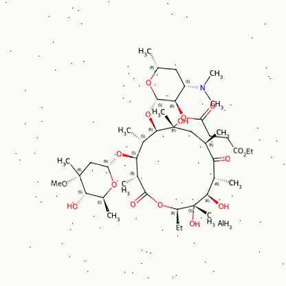 CCOC(=O)CCC(=O)O[C@H]1[C@H](O[C@@H]2[C@@H](C)[C@H](O[C@H]3C[C@@](C)(OC)[C@@H](O)[C@H](C)O3)[C@@H](C)C(=O)O[C@H](CC)[C@@](C)(O)[C@H](O)[C@@H](C)C(=O)[C@H](C)C[C@@]2(C)O)O[C@H](C)C[C@@H]1N(C)C.[AlH3]